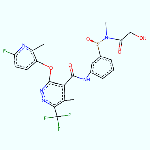 Cc1nc(F)ccc1Oc1nnc(C(F)(F)F)c(C)c1C(=O)Nc1cccc([S@@+]([O-])N(C)C(=O)CO)c1